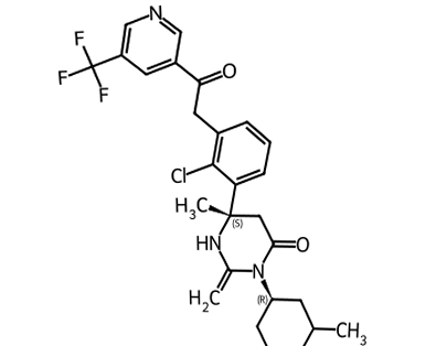 C=C1N[C@](C)(c2cccc(CC(=O)c3cncc(C(F)(F)F)c3)c2Cl)CC(=O)N1[C@@H]1CCOC(C)C1